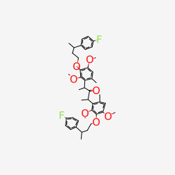 COc1cc(C)c(C(C)C(=O)C(C)c2c(C)cc(OC)c(OCCC(C)c3ccc(F)cc3)c2OC)c(OC)c1OCCC(C)c1ccc(F)cc1